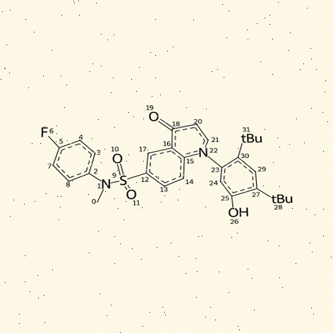 CN(c1ccc(F)cc1)S(=O)(=O)c1ccc2c(c1)c(=O)ccn2-c1cc(O)c(C(C)(C)C)cc1C(C)(C)C